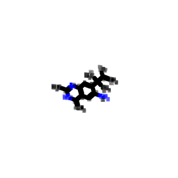 C=C1NC(C)=Nc2cc(C(C)(C)C(=C)CCC)c(N)cc21